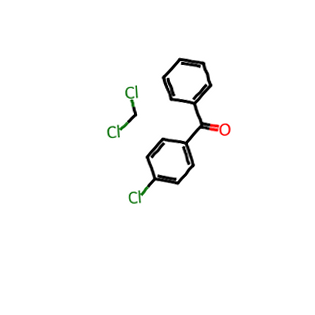 ClCCl.O=C(c1ccccc1)c1ccc(Cl)cc1